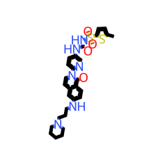 Cc1ccc(S(=O)(=O)NC(=O)Nc2ccc(-n3ccc4cc(NCCCN5CCCCC5)ccc4c3=O)nc2)s1